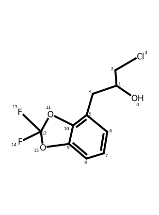 OC(CCl)Cc1cccc2c1OC(F)(F)O2